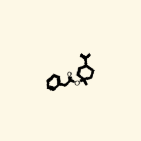 C=C(C)C1CCC(C)(OC(=O)Cc2ccccc2)CC1